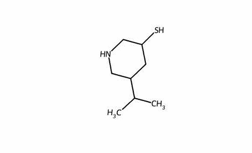 CC(C)C1CNCC(S)C1